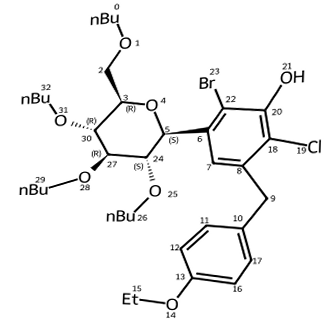 CCCCOC[C@H]1O[C@@H](c2cc(Cc3ccc(OCC)cc3)c(Cl)c(O)c2Br)[C@H](OCCCC)[C@@H](OCCCC)[C@@H]1OCCCC